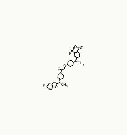 CC(C1Cc2cc(F)ccc2O1)N1CCN(C(=O)COC2CCC(N(C)c3ccc([N+](=O)[O-])c(C(F)(F)F)c3)CC2)CC1